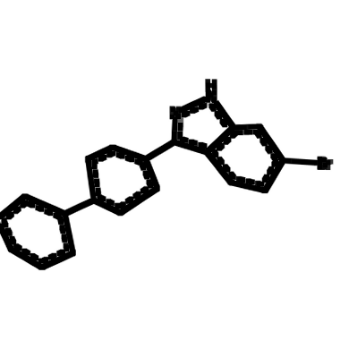 Brc1ccc2c(-c3ccc(-c4ccccc4)cc3)n[nH]c2c1